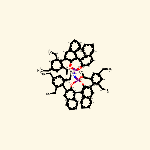 CCc1cc(CC)c(-c2cc3ccccc3c3c2OP(O)(=Np2oc4ccc5ccccc5c4c4c(o2)c(-c2c(CC)cc(CC)cc2CC)cc2ccccc24)Oc2c(-c4c(CC)cc(CC)cc4CC)cc4ccccc4c2-3)c(CC)c1